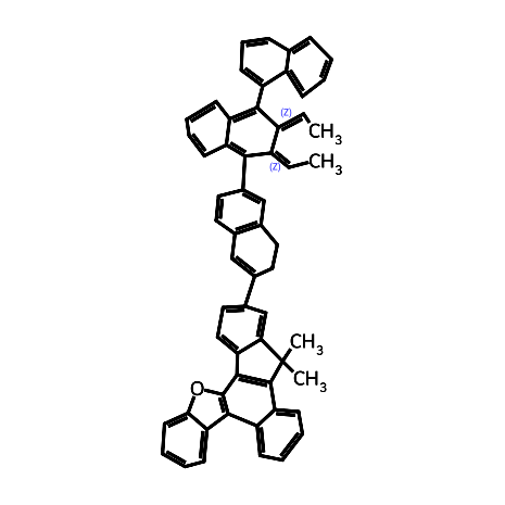 C/C=c1/c(-c2ccc3c(c2)CCC(c2ccc4c(c2)C(C)(C)c2c-4c4oc5ccccc5c4c4ccccc24)=C3)c2ccccc2c(-c2cccc3ccccc23)/c1=C/C